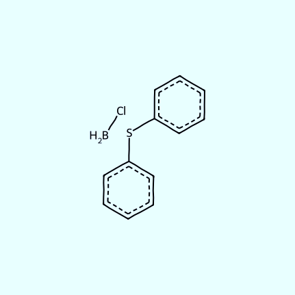 BCl.c1ccc(Sc2ccccc2)cc1